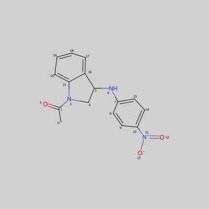 CC(=O)N1CC(Nc2ccc([N+](=O)[O-])cc2)c2ccccc21